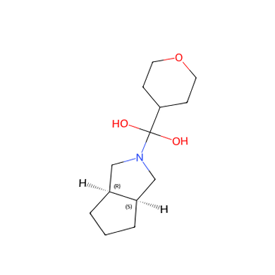 OC(O)(C1CCOCC1)N1C[C@H]2CCC[C@H]2C1